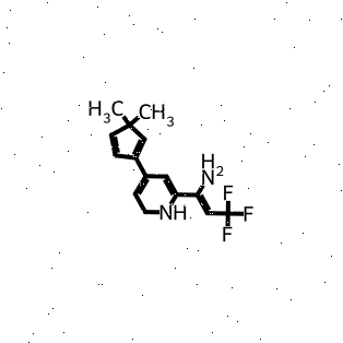 CC1(C)C=CC(C2=CCNC(/C(N)=C/C(F)(F)F)=C2)=C1